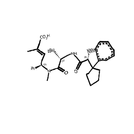 CN[C@@H](C(=O)N[C@H](C(=O)N(C)[C@H](C=C(C)C(=O)O)C(C)C)C(C)(C)C)C1(c2ccccc2)CCCC1